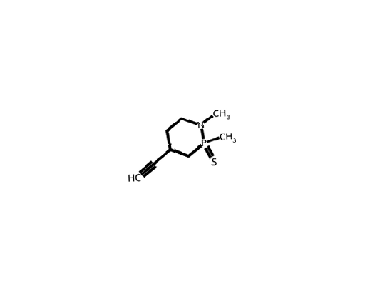 C#CC1CCN(C)P(C)(=S)C1